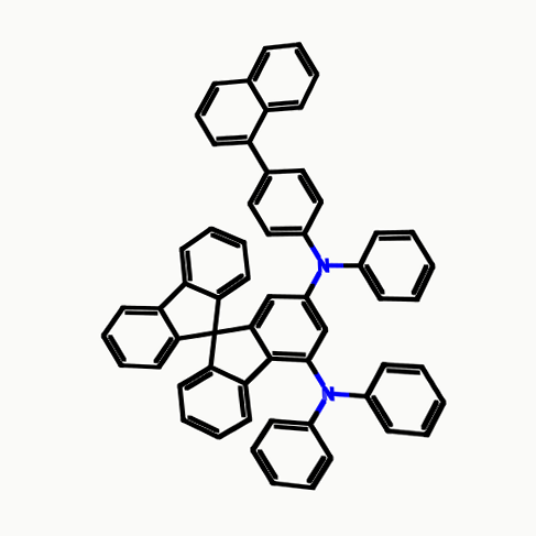 c1ccc(N(c2ccc(-c3cccc4ccccc34)cc2)c2cc(N(c3ccccc3)c3ccccc3)c3c(c2)C2(c4ccccc4-c4ccccc42)c2ccccc2-3)cc1